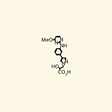 COc1ccnc(Nc2cccc(-c3cnn(CC(O)C(=O)O)c3)c2)n1